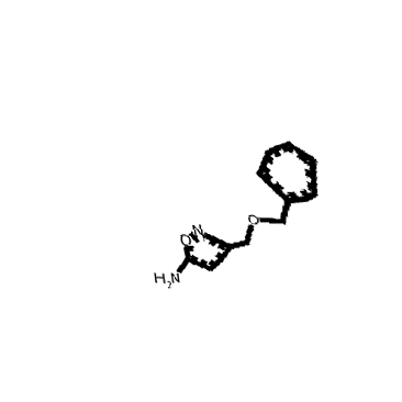 Nc1cc(COCc2ccccc2)no1